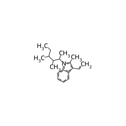 C=Cc1c(C)n(C(C)C(C)C(C)CC)c2ccccc12